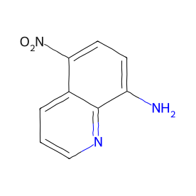 Nc1ccc([N+](=O)[O-])c2cccnc12